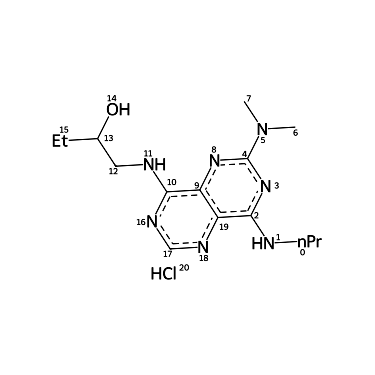 CCCNc1nc(N(C)C)nc2c(NCC(O)CC)ncnc12.Cl